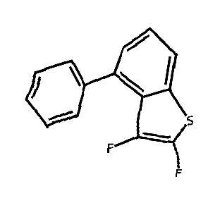 Fc1sc2cccc(-c3ccccc3)c2c1F